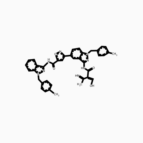 CC(=N)/C(=C\O)C(=O)Nc1nn(Cc2ccc(C)cc2)c2ccc(-c3cc(C(=O)Nc4nn(Cc5ccc(C)cc5)c5ccccc45)on3)cc12